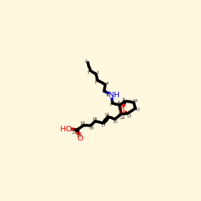 CCCCCCNCC1C2CCC(O2)C1CC=CCCCC(=O)O